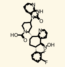 O=C(O)N1CCC(n2c(=O)[nH]c3ncccc32)CC1[C@H]1CC[C@@H](c2cccc(F)c2F)/C(=N/O)c2cccnc21